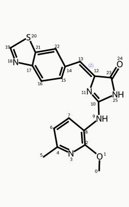 COc1nc(C)ccc1NC1=N/C(=C\c2ccc3ncsc3c2)C(=O)N1